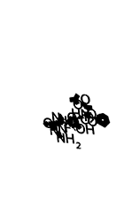 COc1nc(N)nc2c1ncn2[C@@H]1O[C@@H](COP(=O)(NC(C)C(=O)OC(C)C)Oc2ccccc2)C(O)[C@@]1(C)F